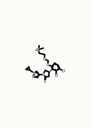 C[Si](C)(C)CCOCOc1ccc(Cl)c(Cl)c1[C@H]1CC(=S)N(c2cnn(C3CC3)c2)C1